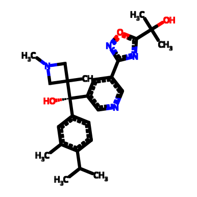 Cc1cc([C@](O)(c2cncc(-c3noc(C(C)(C)O)n3)c2)C2(C)CN(C)C2)ccc1C(C)C